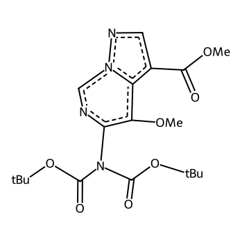 COC(=O)c1cnn2cnc(N(C(=O)OC(C)(C)C)C(=O)OC(C)(C)C)c(OC)c12